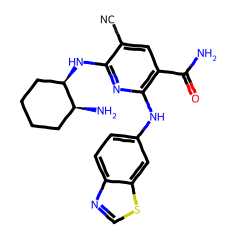 N#Cc1cc(C(N)=O)c(Nc2ccc3ncsc3c2)nc1N[C@@H]1CCCC[C@@H]1N